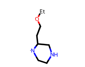 CCOCCC1CNCC[N]1